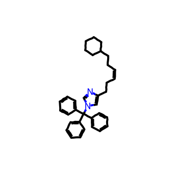 C(=C/CCC1CCCCC1)/CCc1cn(C(c2ccccc2)(c2ccccc2)c2ccccc2)cn1